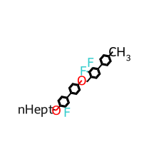 CCCCCCCOc1ccc(-c2ccc(OCc3ccc(-c4ccc(C)cc4)c(F)c3F)cc2)cc1F